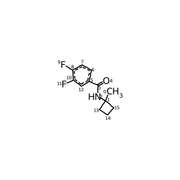 CC1(NC(=O)c2ccc(F)c(F)c2)CCC1